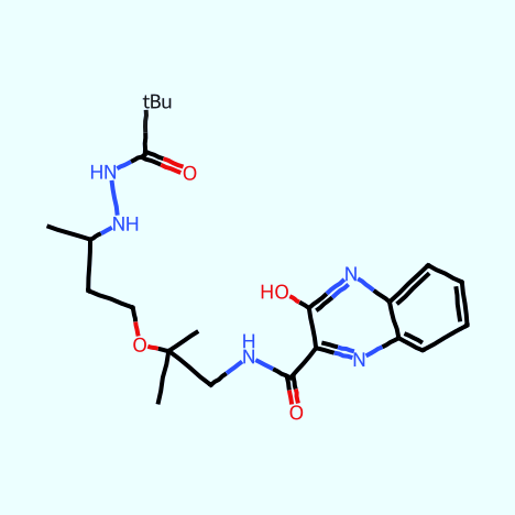 CC(CCOC(C)(C)CNC(=O)c1nc2ccccc2nc1O)NNC(=O)C(C)(C)C